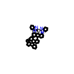 Cc1nc2ccccc2n1-c1cccc2c(-c3cccc4c3-c3ccccc3C43c4ccccc4-c4ccc5ccccc5c43)c3cccc(-n4c(C)nc5ccccc54)c3cc12